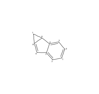 [c]1ccc2c(c1)C1CC1=C2